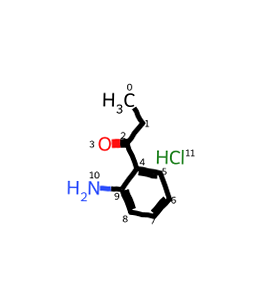 CCC(=O)c1ccccc1N.Cl